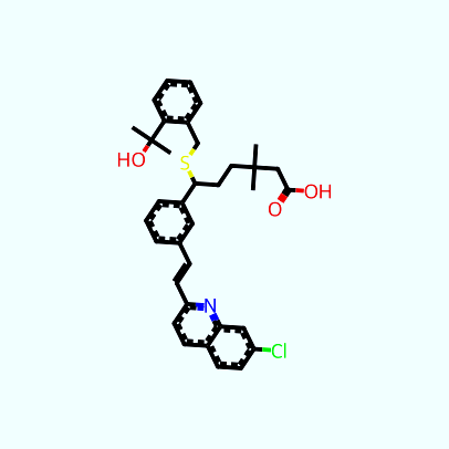 CC(C)(CCC(SCc1ccccc1C(C)(C)O)c1cccc(C=Cc2ccc3ccc(Cl)cc3n2)c1)CC(=O)O